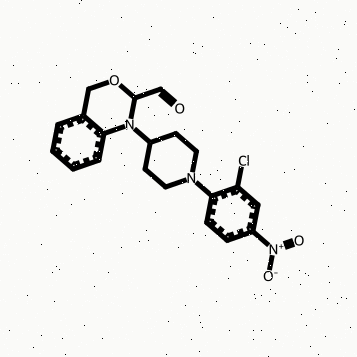 O=CC1OCc2ccccc2N1C1CCN(c2ccc([N+](=O)[O-])cc2Cl)CC1